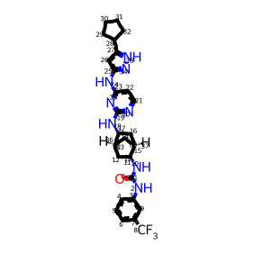 O=C(Nc1cccc(C(F)(F)F)c1)N[C@H]1C[C@@H]2C[C@H]1C[C@@H]2Nc1nccc(Nc2cc(C3CCCC3)[nH]n2)n1